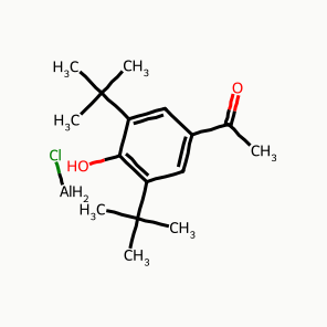 CC(=O)c1cc(C(C)(C)C)c(O)c(C(C)(C)C)c1.[AlH2][Cl]